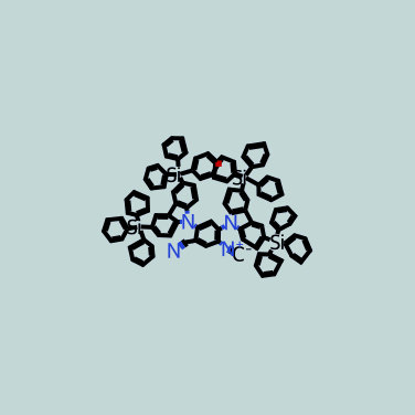 [C-]#[N+]c1cc(C#N)c(-n2c3ccc([Si](c4ccccc4)(c4ccccc4)c4ccccc4)cc3c3cc([Si](c4ccccc4)(c4ccccc4)c4ccccc4)ccc32)cc1-n1c2ccc([Si](c3ccccc3)(c3ccccc3)c3ccccc3)cc2c2cc([Si](c3ccccc3)(c3ccccc3)c3ccccc3)ccc21